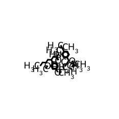 CCCCCC(CC(=O)Nc1cc(C(O[SiH](C)C)C(C)(C)C)ccc1C(C)(C)C)c1ccc(OC)cc1OC